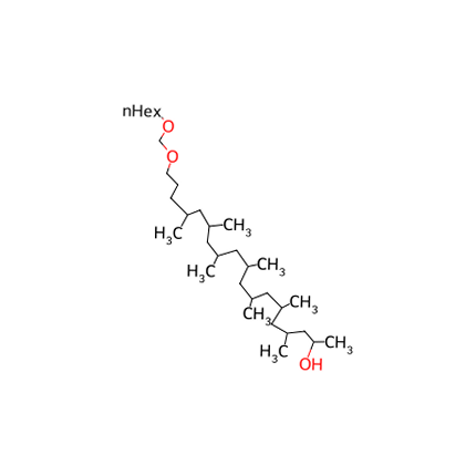 CCCCCCOCOCCCC(C)CC(C)CC(C)CC(C)CC(C)CC(C)CC(C)CC(C)O